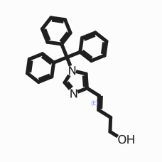 OCC/C=C/c1cn(C(c2ccccc2)(c2ccccc2)c2ccccc2)cn1